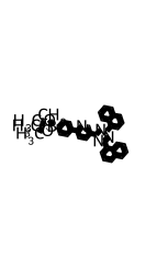 CC1(C)OB(c2ccc(-c3ccc(-c4nc(-c5cccc6ccccc56)nc(-c5cccc6ccccc56)n4)cn3)cc2)OC1(C)C